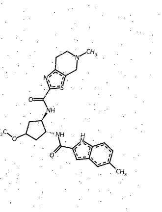 COC1C[C@@H](NC(=O)c2cc3cc(C)ccc3[nH]2)[C@H](NC(=O)c2nc3c(s2)CN(C)CC3)C1